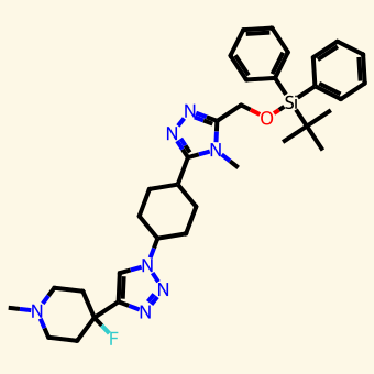 CN1CCC(F)(c2cn(C3CCC(c4nnc(CO[Si](c5ccccc5)(c5ccccc5)C(C)(C)C)n4C)CC3)nn2)CC1